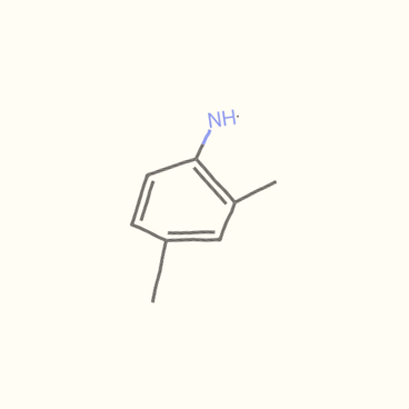 Cc1ccc([NH])c(C)c1